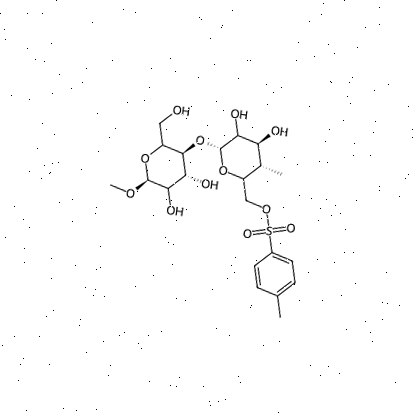 CO[C@H]1OC(CO)[C@@H](O[C@H]2OC(COS(=O)(=O)c3ccc(C)cc3)[C@@H](C)[C@H](O)C2O)[C@H](O)C1O